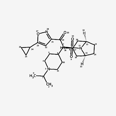 CC(C)N1CCC(CS(=O)(=O)N2[C@@H]3CC[C@H]2C[C@@H](NC(=O)c2cc(C4CC4)on2)C3)CC1